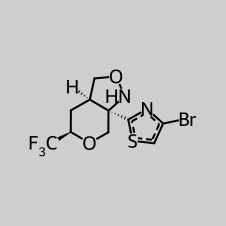 FC(F)(F)[C@H]1C[C@H]2CON[C@@]2(c2nc(Br)cs2)CO1